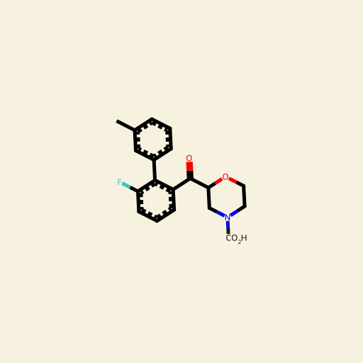 Cc1cccc(-c2c(F)cccc2C(=O)C2CN(C(=O)O)CCO2)c1